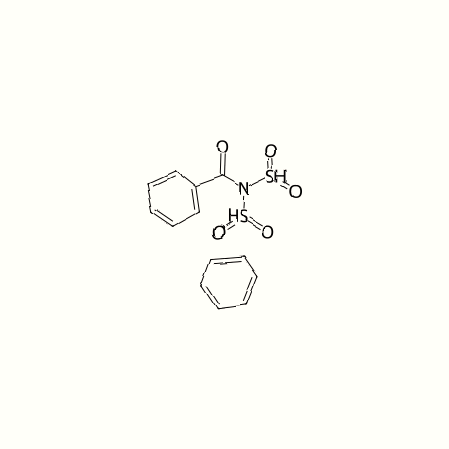 O=C(c1ccccc1)N([SH](=O)=O)[SH](=O)=O.c1ccccc1